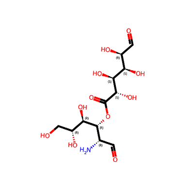 N[C@@H](C=O)[C@@H](OC(=O)[C@@H](O)[C@@H](O)[C@H](O)[C@@H](O)C=O)[C@H](O)[C@H](O)CO